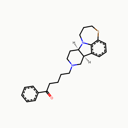 O=C(CCCCN1CC[C@@H]2[C@H](C1)c1cccc3c1N2CCCS3)c1ccccc1